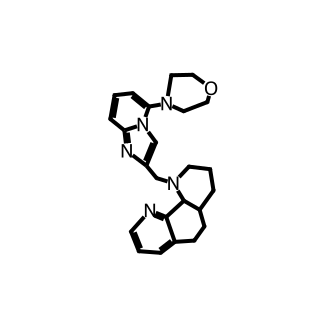 c1cnc2c(c1)CCC1CCCN(Cc3cn4c(N5CCOCC5)cccc4n3)C21